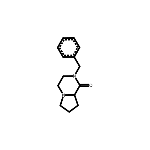 O=C1C2CCCN2CCN1Cc1ccccc1